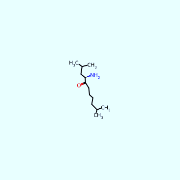 CC(C)CCCCC(=O)[C@H](N)CC(C)C